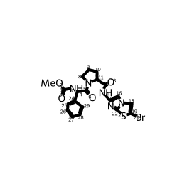 COC(=O)N[C@H](C(=O)N1CCCC1C(=O)Nc1cn2cc(Br)sc2n1)c1ccccc1